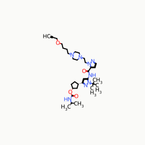 C#CCOCCCCN1CCN(CCn2nccc2C(=O)Nc2cc([C@H]3CC[C@@H](OC(=O)NC(C)C)C3)nn2C(C)(C)C)CC1